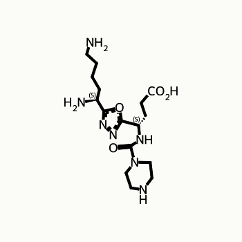 NCCCC[C@H](N)c1nnc([C@H](CCC(=O)O)NC(=O)N2CCNCC2)o1